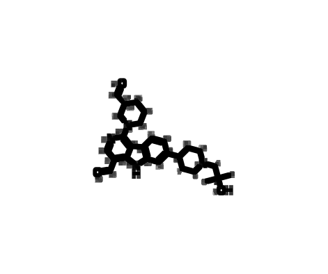 CC(C)(O)CN1CCC(c2ccc3c(c2)[nH]c2c(C=O)cnc(N4CCC[C@H](C=O)C4)c23)CC1